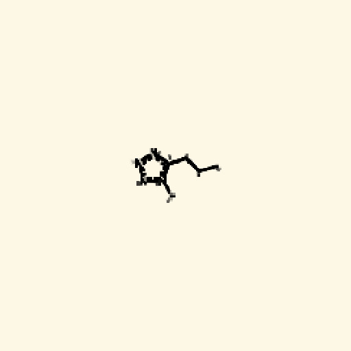 CCCc1nnnn1F